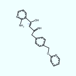 N=C(/C=C(\O)c1cccnc1N)Cc1ccc(COc2ccccn2)cc1